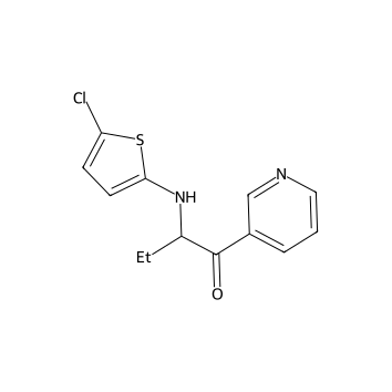 CCC(Nc1ccc(Cl)s1)C(=O)c1cccnc1